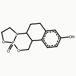 O=P12OCCN1C1CCc3cc(O)ccc3C1CO2